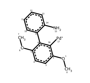 COc1ccc(OC)c(-c2ccccc2N)[c]1[Pd+]